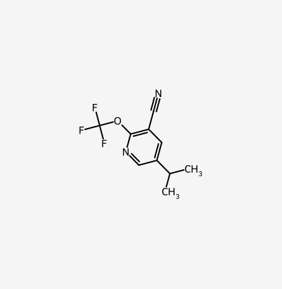 CC(C)c1cnc(OC(F)(F)F)c(C#N)c1